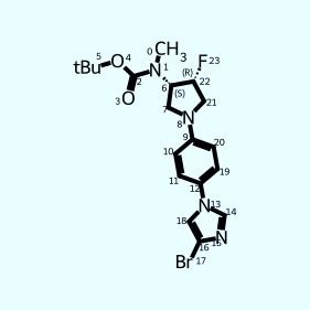 CN(C(=O)OC(C)(C)C)[C@H]1CN(c2ccc(-n3cnc(Br)c3)cc2)C[C@H]1F